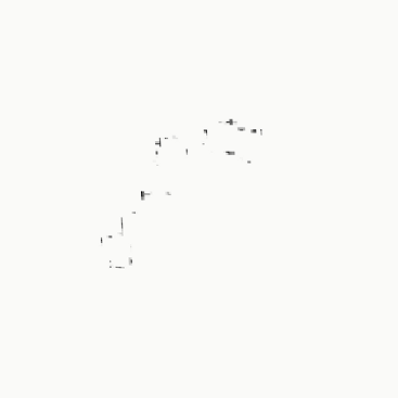 CCc1cc(-c2cncc(C(=O)NCCc3ccccc3)c2)c(C)[nH]c1=O